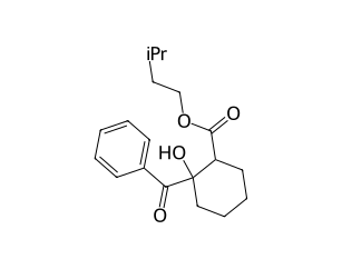 CC(C)CCOC(=O)C1CCCCC1(O)C(=O)c1ccccc1